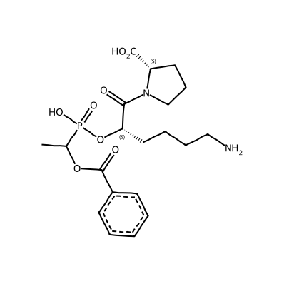 CC(OC(=O)c1ccccc1)P(=O)(O)O[C@@H](CCCCN)C(=O)N1CCC[C@H]1C(=O)O